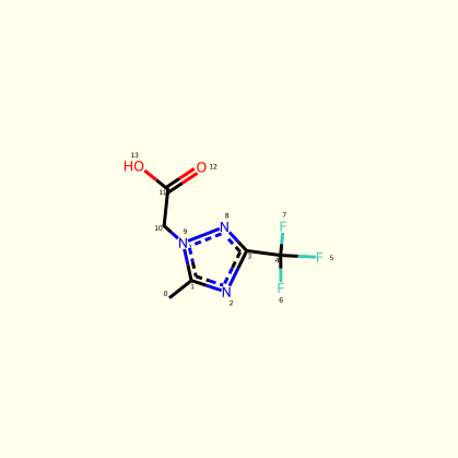 Cc1nc(C(F)(F)F)nn1CC(=O)O